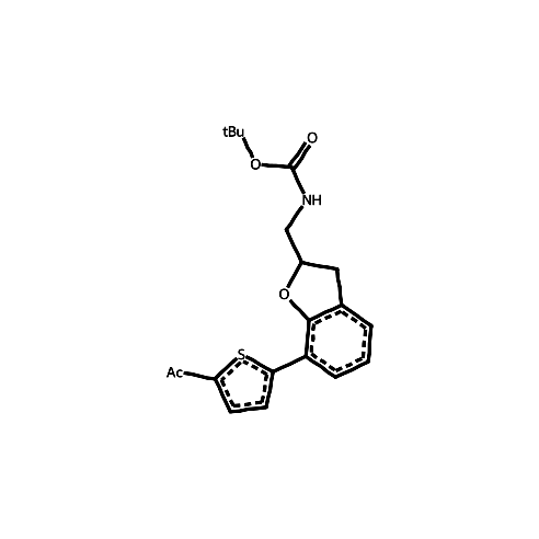 CC(=O)c1ccc(-c2cccc3c2OC(CNC(=O)OC(C)(C)C)C3)s1